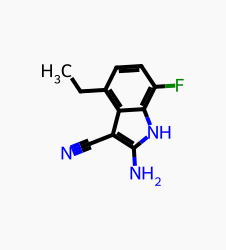 CCc1ccc(F)c2[nH]c(N)c(C#N)c12